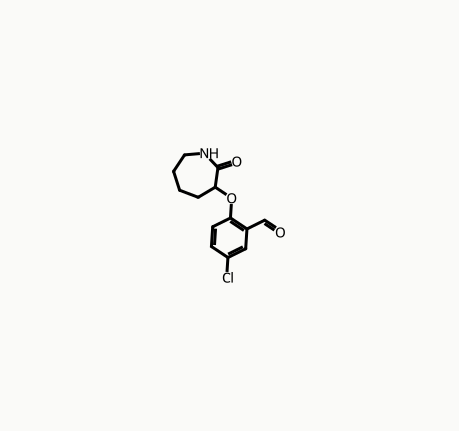 O=Cc1cc(Cl)ccc1OC1CCCCNC1=O